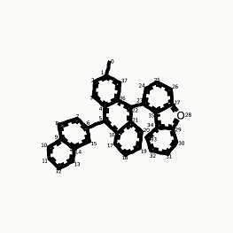 Cc1ccc2c(-c3ccc4ccccc4c3)c3ccccc3c(-c3cccc4oc5ccccc5c34)c2c1